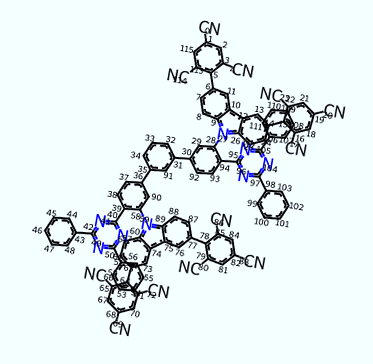 N#Cc1cc(C#N)c(-c2ccc3c(c2)c2cc(-c4c(C#N)cc(C#N)cc4C#N)ccc2n3-c2cc(-c3cccc(-c4ccc(-c5nc(-c6ccccc6)nc(-c6ccccc6)n5)c(-n5c6ccc(-c7c(C#N)cc(C#N)cc7C#N)cc6c6cc(-c7c(C#N)cc(C#N)cc7C#N)ccc65)c4)c3)ccc2-c2nc(-c3ccccc3)nc(-c3ccccc3)n2)c(C#N)c1